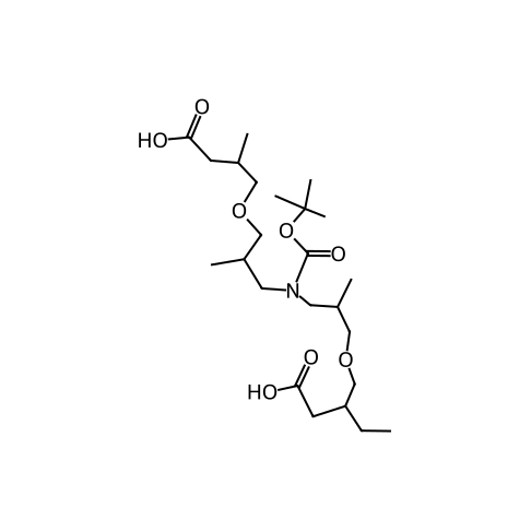 CCC(COCC(C)CN(CC(C)COCC(C)CC(=O)O)C(=O)OC(C)(C)C)CC(=O)O